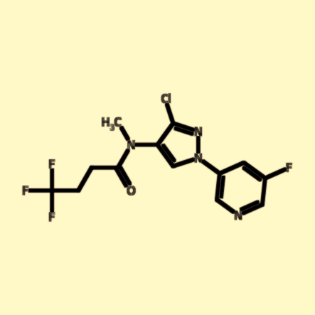 CN(C(=O)CCC(F)(F)F)c1cn(-c2cncc(F)c2)nc1Cl